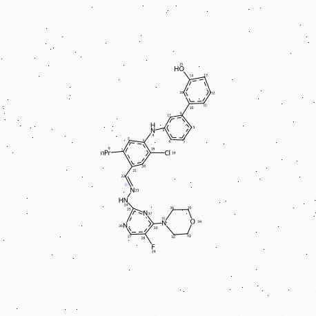 CCCc1cc(Nc2cccc(-c3cccc(O)c3)c2)c(Cl)cc1/C=N/Nc1ncc(F)c(N2CCOCC2)n1